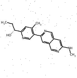 CC[C@@H](O)c1cc(C)c(-c2cc3cnc(NC)cc3cn2)cn1